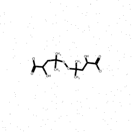 CC(C)(CC(O)C(=O)Cl)OOC(C)(C)CC(O)C(=O)Cl